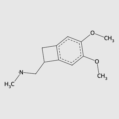 C[N]CC1Cc2cc(OC)c(OC)cc21